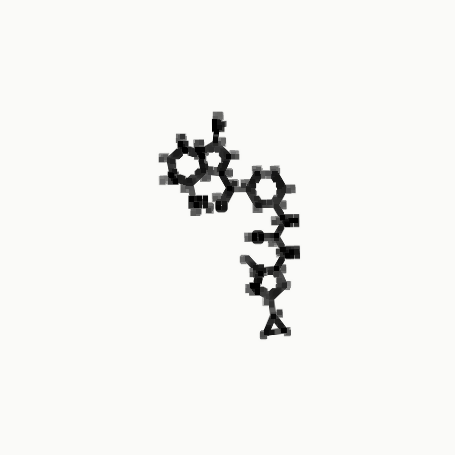 Cn1nc(C2CC2)cc1NC(=O)Nc1cccc(C(=O)c2cc(Br)n3ncnc(N)c23)c1